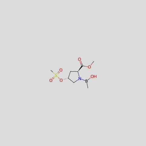 COC(=O)[C@@H]1C[C@@H](OS(C)(=O)=O)CN1B(C)O